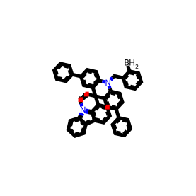 Bc1ccccc1CN1c2ccc(-c3ccccc3)cc2C2(c3cc(-c4ccccc4)ccc31)c1ccccc1-n1c3ccccc3c3cccc2c31